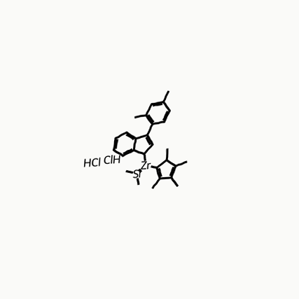 CC1=C(C)C(C)[C]([Zr]([CH]2C=C(c3ccc(C)cc3C)c3ccccc32)=[Si](C)C)=C1C.Cl.Cl